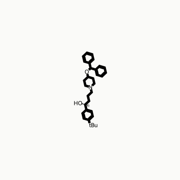 CC(C)(C)c1ccc([C@H](O)CCCN2CCC(OC(c3ccccc3)c3ccccc3)CC2)cc1